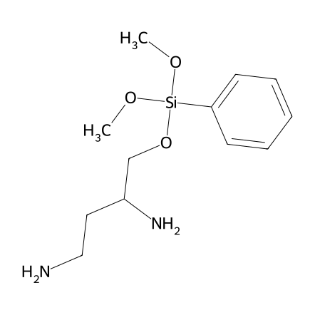 CO[Si](OC)(OCC(N)CCN)c1ccccc1